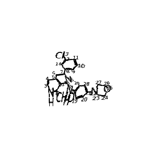 O=CC1NC=Cc2cc(-c3cccc(Cl)c3)nc(Nc3ccc(N4CCOCC4)cc3)c21